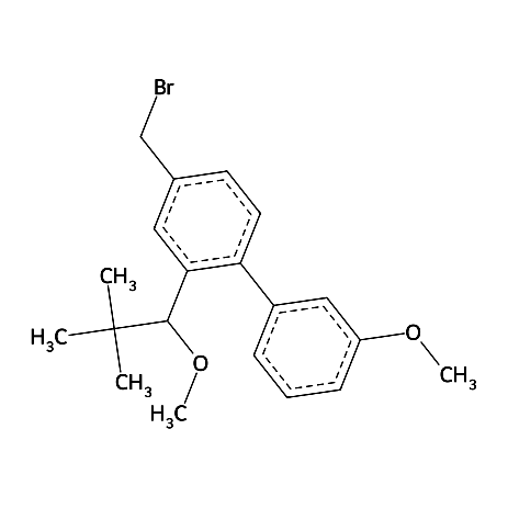 COc1cccc(-c2ccc(CBr)cc2C(OC)C(C)(C)C)c1